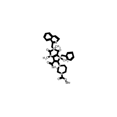 CN1C(=O)[N+](C)(Cc2nccc3ccccc23)C(=O)C2=C1C(C(N)=O)=C(N1CCCN(C(=O)OC(C)(C)C)CC1)[N+]2(C)Cc1ccccc1